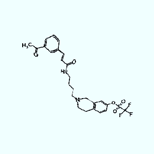 CC(=O)c1cccc(/C=C/C(=O)NCCCCN2CCc3ccc(OS(=O)(=O)C(F)(F)F)cc3C2)c1